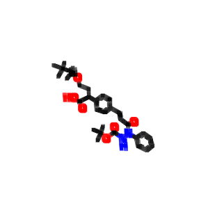 CC(C)(C)OC(=O)NN(C(=O)C=Cc1ccc(C(CCO[Si](C)(C)C(C)(C)C)C(=O)O)cc1)c1ccccc1